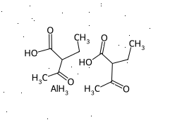 CCC(C(C)=O)C(=O)O.CCC(C(C)=O)C(=O)O.[AlH3]